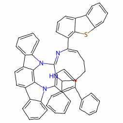 C1=C(c2cccc3c2sc2ccccc23)\N=C(\n2c3ccccc3c3ccc4c5ccccc5n(-c5cccc(-c6ccccc6)c5)c4c32)NC(c2ccccc2)CCC/1